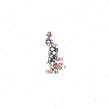 C[C@@H]1C[C@H]([C@H](NS(=O)(=O)C(F)(F)F)C(C)(C)O)OC2[C@H]1[C@@]1(C)CCC34C[C@@]35CC[C@H](O[C@H]3CN(C6COC6)CCO3)C(C)(C)[C@@H]5CC[C@H]4[C@]1(C)[C@H]2O